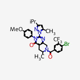 COc1ccc(-n2c(-n3nc(C(C)C)cc3C)nc3c(c2=O)CC(C)N(C(=O)c2ccc(Br)c(C(F)(F)F)c2)C3)cc1